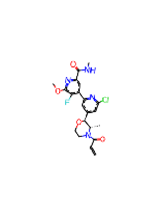 C=CC(=O)N1CCO[C@@H](c2cc(Cl)nc(-c3cc(C(=O)NC)nc(OC)c3F)c2)[C@@H]1C